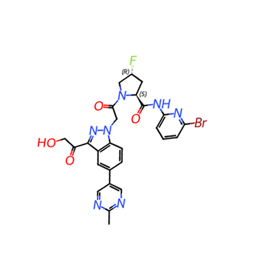 Cc1ncc(-c2ccc3c(c2)c(C(=O)CO)nn3CC(=O)N2C[C@H](F)C[C@H]2C(=O)Nc2cccc(Br)n2)cn1